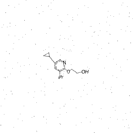 CC(C)c1cc(C2CC2)cnc1OCCO